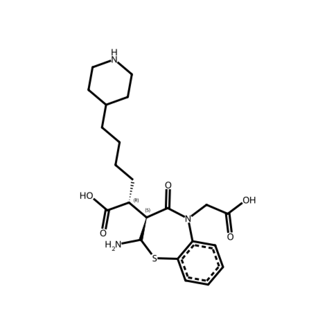 NC1Sc2ccccc2N(CC(=O)O)C(=O)[C@@H]1[C@@H](CCCCC1CCNCC1)C(=O)O